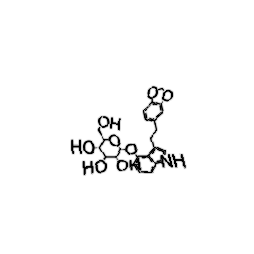 OC[C@H]1O[C@@H](Oc2cccc3[nH]cc(CCc4ccc5c(c4)OCO5)c23)[C@H](O)[C@@H](O)[C@@H]1O